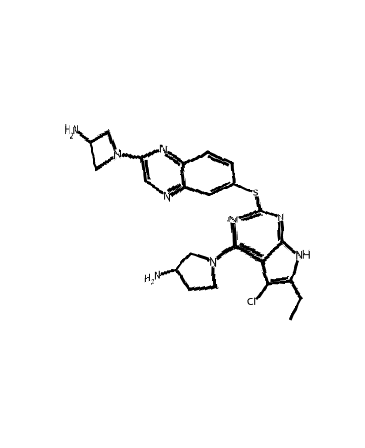 CCc1[nH]c2nc(Sc3ccc4nc(N5CC(N)C5)cnc4c3)nc(N3CCC(N)C3)c2c1Cl